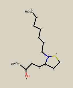 CCCCCC(O)CCC1CCSN1CCCCCCC(=O)O